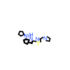 c1cc(NC2CCCC2)c2[nH]c(C3=NC(CN4CCCC4)CS3)cc2c1